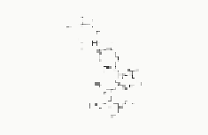 CC1(C)CCN(c2ccc(-n3c(=O)oc4cc(F)c(O)c(F)c43)cc2)CC1